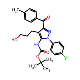 Cc1ccc(C(=O)c2nn(-c3ccc(Cl)cc3)c(NC(=O)OC(C)(C)C)c2CCCO)cc1